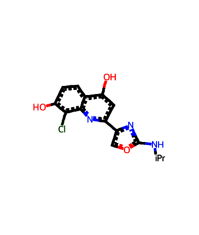 CC(C)Nc1nc(-c2cc(O)c3ccc(O)c(Cl)c3n2)co1